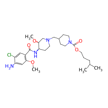 COc1cc(N)c(Cl)cc1C(=O)N[C@@H]1CCN(CC2CCN(C(=O)OCCCC(C)C)CC2)C[C@@H]1OC